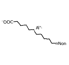 CCCCCCCCCCCCCCCCCCCC(=O)[O-].[Al+]